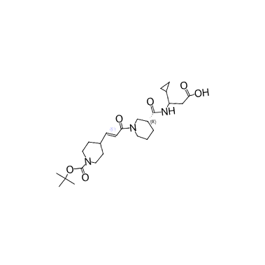 CC(C)(C)OC(=O)N1CCC(/C=C/C(=O)N2CCC[C@@H](C(=O)NC(CC(=O)O)C3CC3)C2)CC1